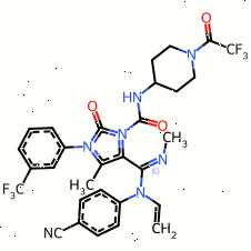 C=CN(/C(=N/C)c1c(C)n(-c2cccc(C(F)(F)F)c2)c(=O)n1C(=O)NC1CCN(C(=O)C(F)(F)F)CC1)c1ccc(C#N)cc1